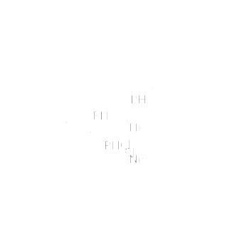 [Cl-].[Cl-].[Ni+2].c1ccc(PCCCPc2ccccc2)cc1.c1ccc(PCCCPc2ccccc2)cc1